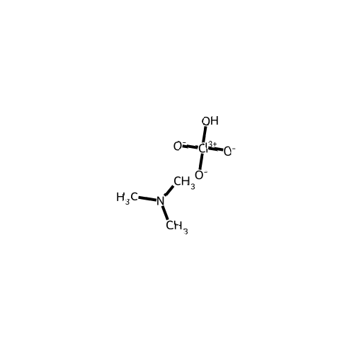 CN(C)C.[O-][Cl+3]([O-])([O-])O